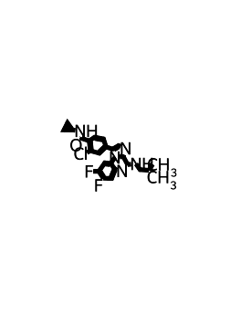 CC(C)CNc1nc2cc(F)c(F)cc2n2c(-c3ccc(C(=O)NC4CC4)c(Cl)c3)cnc12